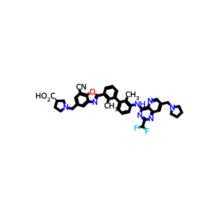 Cc1c(Nc2nc(C(F)F)nc3cc(CN4CCCC4)cnc23)cccc1-c1cccc(-c2nc3cc(CN4CC[C@H](C(=O)O)C4)cc(C#N)c3o2)c1C